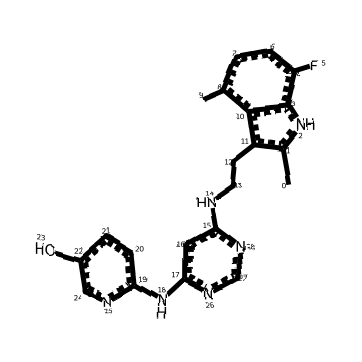 Cc1[nH]c2c(F)ccc(C)c2c1CCNc1cc(Nc2ccc(O)cn2)ncn1